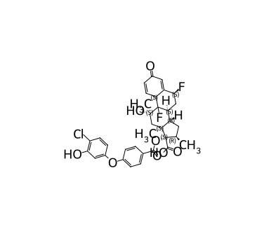 C[C@@H]1C[C@H]2[C@@H]3C[C@H](F)C4=CC(=O)C=C[C@]4(C)C3(F)[C@@H](O)C[C@]2(C)[C@]1(OC(=O)c1ccc(Oc2ccc(Cl)c(O)c2)cc1)C(=O)O